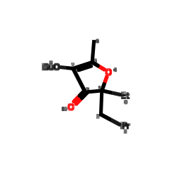 CCC1(CC(C)C)OC(C)=C(OCC(C)C)C1=O